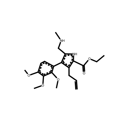 C=CCc1c(C(=O)OCC)[nH]c(CNC)c1-c1ccc(OC)c(OC)c1OC